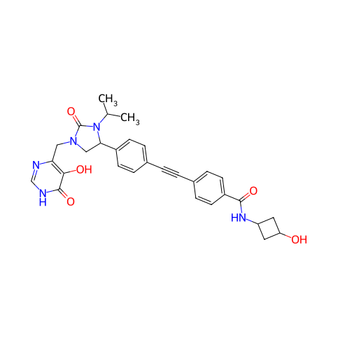 CC(C)N1C(=O)N(Cc2nc[nH]c(=O)c2O)CC1c1ccc(C#Cc2ccc(C(=O)NC3CC(O)C3)cc2)cc1